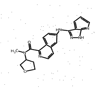 CN(C(=O)c1nccc2cc(Nc3n[nH]c4ncccc34)ccc12)C1CCOC1